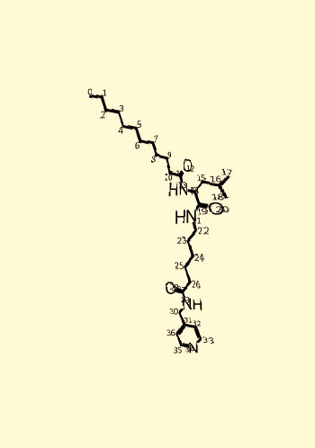 CCCCCCCCCCCC(=O)N[C@@H](CC(C)C)C(=O)NCCCCCC(=O)NCc1ccncc1